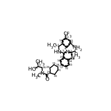 Cc1nc(N[C@H](C)c2cc(N)cc(C(F)(F)F)c2)c2cc([C@H]3CC[C@H](C(=O)N(C)C[C@H](C)O)CC3)ccc2n1